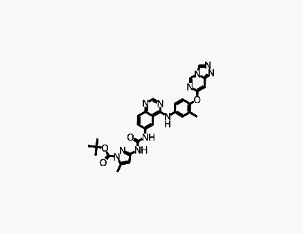 Cc1cc(Nc2ncnc3ccc(NC(=O)Nc4cc(C)n(C(=O)OC(C)(C)C)n4)cc23)ccc1Oc1cc2nncn2cn1